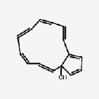 OC12C=CC=C1/C=C/C=C\C=C\C=C/C=C/2